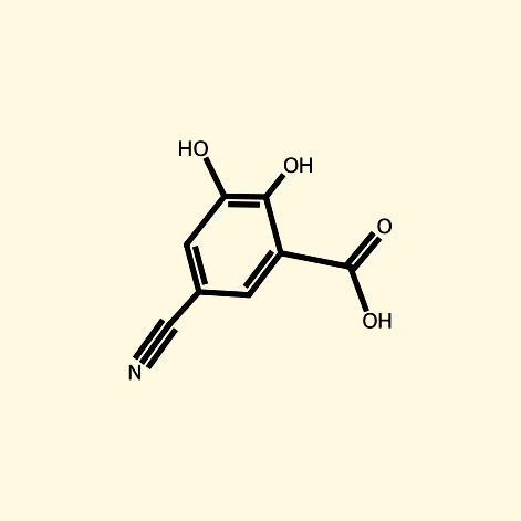 N#Cc1cc(O)c(O)c(C(=O)O)c1